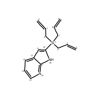 C=CC[Si](CC=C)(CC=C)c1cc2cccnc2[nH]1